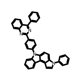 c1ccc(-c2nc(-c3ccc(-n4c5ccccc5c5c6ccn(-c7ccccc7)c6ccc54)cc3)nc3ccccc23)cc1